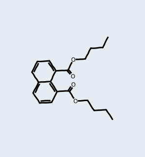 CCCCOC(=O)c1cccc2cccc(C(=O)OCCCC)c12